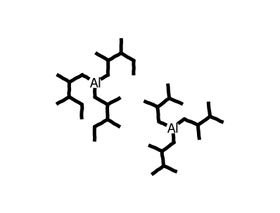 CC(C)C(C)[CH2][Al]([CH2]C(C)C(C)C)[CH2]C(C)C(C)C.CCC(C)C(C)[CH2][Al]([CH2]C(C)C(C)CC)[CH2]C(C)C(C)CC